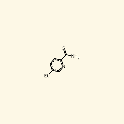 CCc1ccc(C(N)=S)nc1